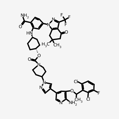 CC(Oc1cc(-c2cnn(C3CCN(C(=O)O[C@H]4CC[C@H](Nc5cc(-n6nc(C(F)(F)F)c7c6CC(C)(C)CC7=O)ccc5C(N)=O)CC4)CC3)c2)cnc1N)c1c(Cl)ccc(F)c1Cl